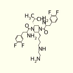 CC(C)C[C@@H]1CN(C(=O)C(N)Cc2ccc(F)c(F)c2)[C@@H](CCCCNCCN)CN1C(=O)C(N)Cc1ccc(F)c(F)c1